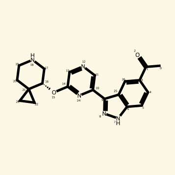 CC(=O)c1ccc2[nH]nc(-c3cncc(O[C@H]4CNCCC45CC5)n3)c2c1